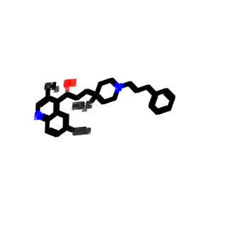 COc1ccc2ncc(C)c([C@H](O)CCC3(C(=O)O)CCN(CCCc4ccccc4)CC3)c2c1